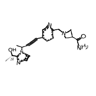 CC(C#Cc1ccc(CN2CC(C(N)=O)C2)nc1)n1ccnc1[C@H](C)O